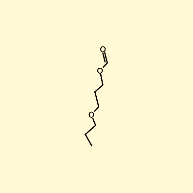 CCCOCCCOC=O